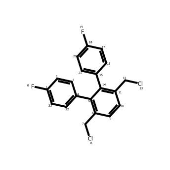 Fc1ccc(-c2c(CCl)ccc(CCl)c2-c2ccc(F)cc2)cc1